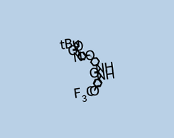 CC(C)(C)OC(=O)c1cc(O[C@H]2CC[C@H](NC(=O)Nc3ccc(OC(F)(F)F)cc3)CC2)ccn1